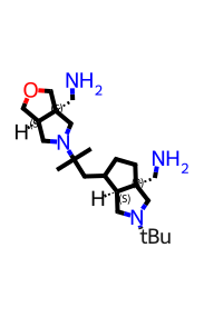 CC(C)(C)N1C[C@H]2C(CC(C)(C)N3C[C@H]4COC[C@@]4(CN)C3)CC[C@@]2(CN)C1